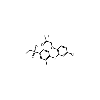 CCS(=O)(=O)c1ccc(Sc2cc(Cl)ccc2OCC(=O)O)c(C)c1